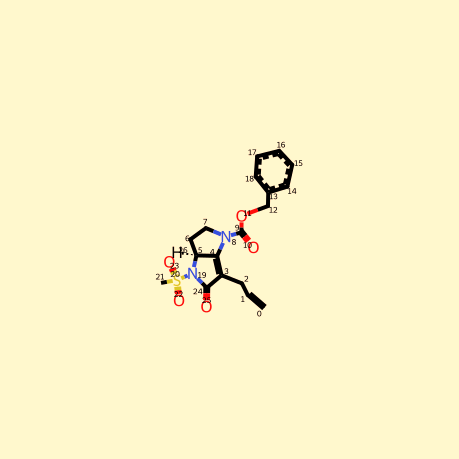 C=CCC1=C2[C@H](CCN2C(=O)OCc2ccccc2)N(S(C)(=O)=O)C1=O